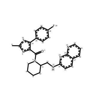 Cc1nc(C(=O)N2CCCCC2CNc2ccc3cccnc3n2)c(-c2ccc(F)cc2)s1